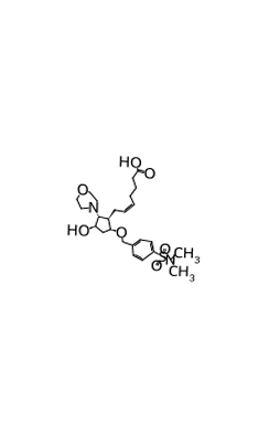 CN(C)S(=O)(=O)c1ccc(CO[C@H]2C[C@@H](O)[C@H](N3CCOCC3)[C@H]2C/C=C\CCCC(=O)O)cc1